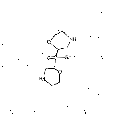 O=P(Br)(C1CNCCO1)C1CNCCO1